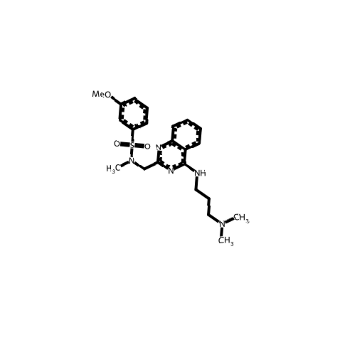 COc1cccc(S(=O)(=O)N(C)Cc2nc(NCCCN(C)C)c3ccccc3n2)c1